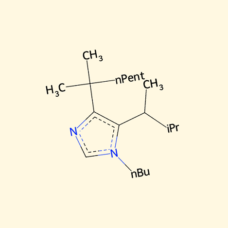 CCCCCC(C)(C)c1ncn(CCCC)c1C(C)C(C)C